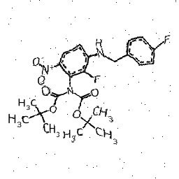 CC(C)(C)OC(=O)N(C(=O)OC(C)(C)C)c1c([N+](=O)[O-])ccc(NCc2ccc(F)cc2)c1F